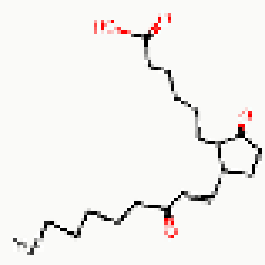 CCCCCCC(=O)C=CC1CCC(=O)C1CCCCCC(=O)O